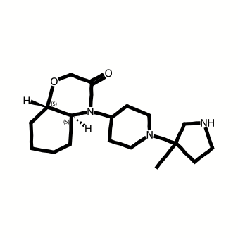 CC1(N2CCC(N3C(=O)CO[C@H]4CCCC[C@@H]43)CC2)CCNC1